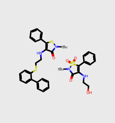 CC(C)(C)N1C(=O)C(NCCO)=C(c2ccccc2)S1(=O)=O.CC(C)(C)n1sc(-c2ccccc2)c(NCCSc2ccccc2-c2ccccc2)c1=O